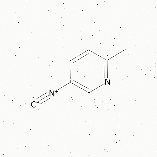 [C-]#[N+]c1ccc(C)nc1